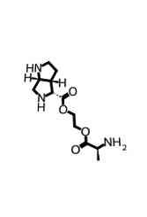 C[C@H](N)C(=O)OCCOC(=O)[C@@H]1NC[C@@H]2NCC[C@@H]21